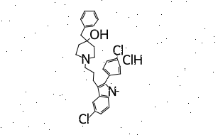 Cl.Cn1c(-c2ccc(Cl)cc2)c(CCCN2CCC(O)(Cc3ccccc3)CC2)c2cc(Cl)ccc21